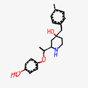 Cc1ccc(CC2(O)CCNC(C(C)Oc3ccc(O)cc3)C2)cc1